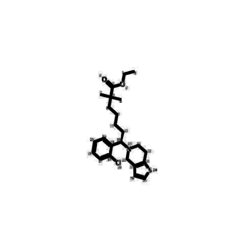 CCOC(=O)C(C)(C)CCCC[C@H](c1ccccc1Cl)N1CCc2sccc2C1